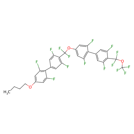 CCCCOc1cc(F)c(-c2cc(F)c(C(F)(F)Oc3cc(F)c(-c4cc(F)c(C(F)(F)OC(F)(F)F)c(F)c4)c(F)c3)c(F)c2)c(F)c1